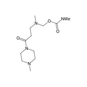 CNC(=O)OCN(C)CCC(=O)N1CCN(C)CC1